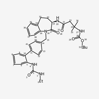 CCNC(=O)Nc1ccccc1-c1ccc(CN2C(=O)[C@H](NC(=O)CC(C)(C)NC(=O)OC(C)(C)C)CCc3ccccc32)cc1